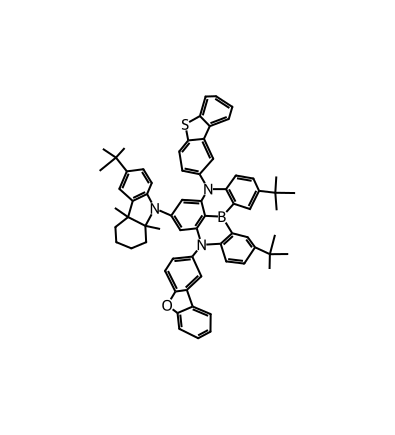 CC(C)(C)c1ccc2c(c1)B1c3cc(C(C)(C)C)ccc3N(c3ccc4sc5ccccc5c4c3)c3cc(N4c5ccc(C(C)(C)C)cc5C5(C)CCCCC45C)cc(c31)N2c1ccc2oc3ccccc3c2c1